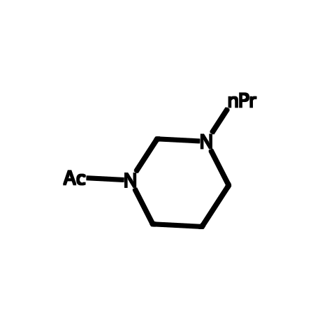 CCCN1CCCN(C(C)=O)C1